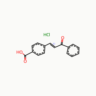 Cl.O=C(O)c1ccc(/C=C/C(=O)c2ccccc2)cc1